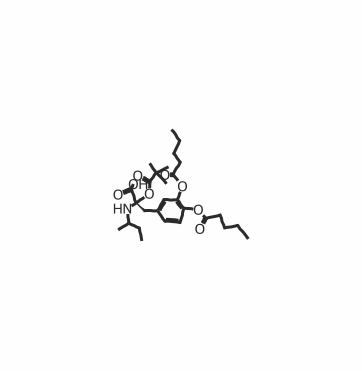 CCCCC(=O)Oc1ccc(C[C@](NC(C)CC)(OC(=O)C(C)(C)C)C(=O)O)cc1OC(=O)CCCC